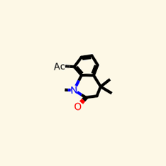 CC(=O)c1cccc2c1N(C)C(=O)CC2(C)C